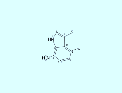 Cc1cnc(N)c2[nH]cc(C)c12